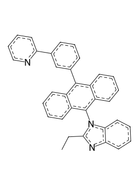 CCc1nc2ccccc2n1-c1c2ccccc2c(-c2cccc(-c3ccccn3)c2)c2ccccc12